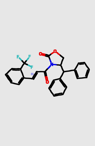 O=C(/C=C/c1ccccc1C(F)(F)F)N1C(=O)OCC1C(c1ccccc1)c1ccccc1